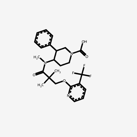 CN(C(=O)C(C)(C)COc1ncccc1C(F)(F)F)C1CCN(C(=O)O)CC1c1ccccc1